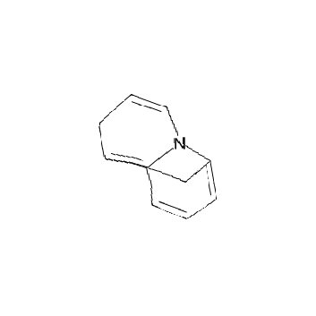 C1=CC2=C3CC=CN2C(=C1)C3